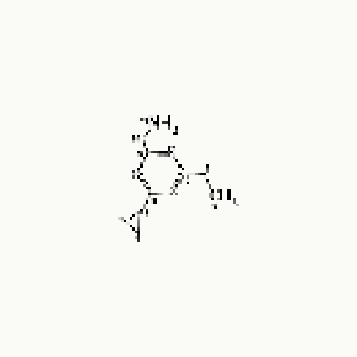 CCc1[c]c(C2CC2)cc(CN)c1